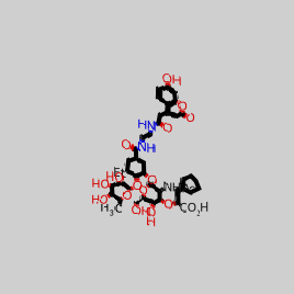 CCC1CC(C(=O)NCCNC(=O)Cc2cc(=O)oc3cc(O)ccc23)CC(O[C@@H]2O[C@H](CO)C(O)C(O[C@@H](CC3CCCCC3)C(=O)O)C2NC(C)=O)C1OC1OC(C)C(O)C(O)C1O